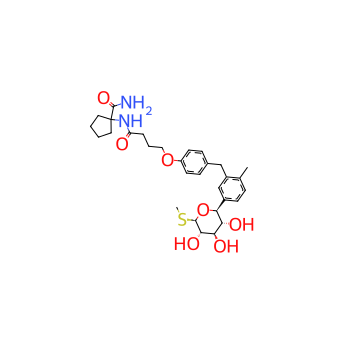 CS[C@H]1O[C@@H](c2ccc(C)c(Cc3ccc(OCCCC(=O)NC4(C(N)=O)CCCC4)cc3)c2)[C@H](O)[C@@H](O)[C@@H]1O